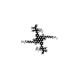 [C-]#[N+]C1=C(/C=C/c2ccc(-c3cc4c5c(ccc6c7c(-c8ccc(/C=C/C9=C(C#N)C(=C(\C#N)[N+]#[C-])/OC9(C)C)cc8)cc8c9c(ccc(c3c56)c97)C(=O)N(CCCCCCCC)C8=O)C(=O)N(CCCCCCCC)C4=O)cc2)C(C)(C)O/C1=C(\C#N)[N+]#[C-]